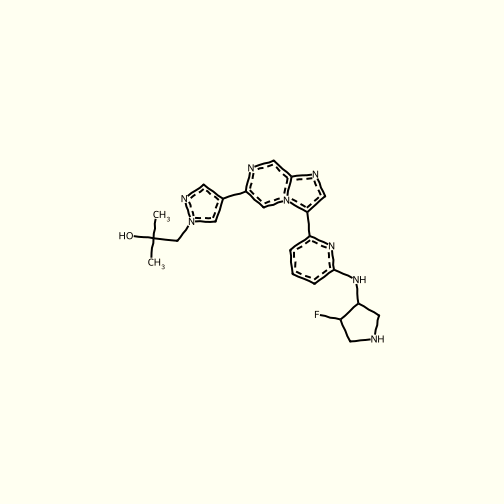 CC(C)(O)Cn1cc(-c2cn3c(-c4cccc(NC5CNCC5F)n4)cnc3cn2)cn1